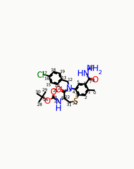 Cc1cc2c(cc1C(=O)NN)N(Cc1ccc(Cl)cc1)C(=O)[C@@H](NC(=O)OC(C)(C)C)CS2